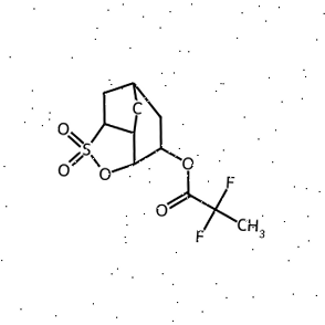 CC(F)(F)C(=O)OC1CC2CC3C1OS(=O)(=O)C3C2